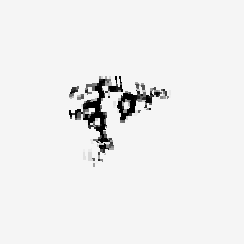 Cc1nsc(-c2ccc3c(-c4nc(N[C@H]5CCC[C@@H]5NC(=O)OC(C)(C)C)ncc4C(F)(F)F)c[nH]c3n2)n1